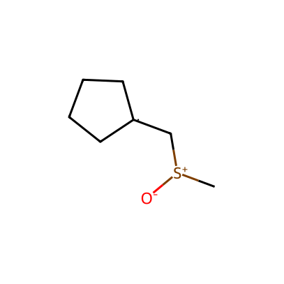 C[S+]([O-])C[C]1CCCC1